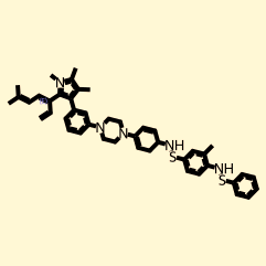 C=C/C(=C\C=C(C)C)c1c(-c2cccc(N3CCN(C4=CCC(NSc5ccc(NSc6ccccc6)c(C)c5)C=C4)CC3)c2)c(C)c(C)n1C